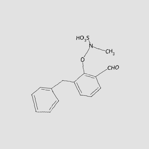 CN(Oc1c(C=O)cccc1Cc1ccccc1)S(=O)(=O)O